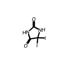 O=C1NC(=O)C(I)(I)N1